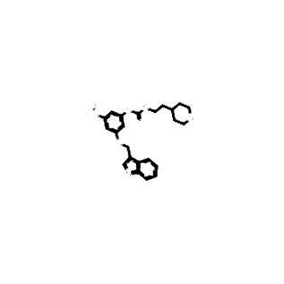 CCCOc1cc(NC(=O)NCCC2CCNCC2)cc(OCc2c[nH]c3ccccc23)c1